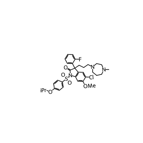 COc1cc2c(cc1Cl)C(CCCN1CCCN(C)CC1)(c1ccccc1F)C(=O)N2S(=O)(=O)c1ccc(OC(C)C)cc1